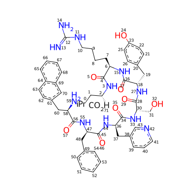 CC(C)C[C@H](NC(=O)[C@@H](CCCCNC(=N)N)NC(=O)[C@H](Cc1ccc(O)cc1)NC(=O)[C@H](CO)NC(=O)[C@@H](Cc1cccnc1)NC(=O)[C@@H](Cc1ccccc1)NC(=O)[C@H](N)Cc1ccc2ccccc2c1)C(=O)O